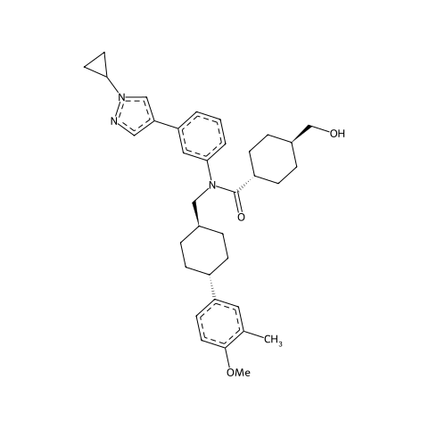 COc1ccc([C@H]2CC[C@H](CN(c3cccc(-c4cnn(C5CC5)c4)c3)C(=O)[C@H]3CC[C@H](CO)CC3)CC2)cc1C